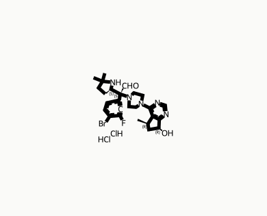 C[C@@H]1C[C@@H](O)c2ncnc(N3CCN([C@@](C=O)(c4ccc(Br)c(F)c4)[C@@H]4CCC(C)(C)N4)CC3)c21.Cl.Cl